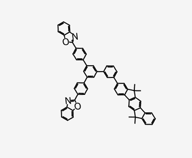 CC1(C)c2ccccc2-c2cc3c(cc21)-c1ccc(-c2cccc(-c4cc(-c5ccc(-c6nc7ccccc7o6)cc5)cc(-c5ccc(-c6nc7ccccc7o6)cc5)c4)c2)cc1C3(C)C